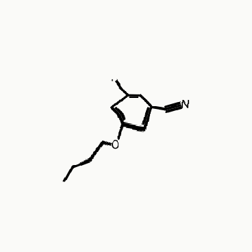 [CH2]c1cc(C#N)cc(OCCCC)c1